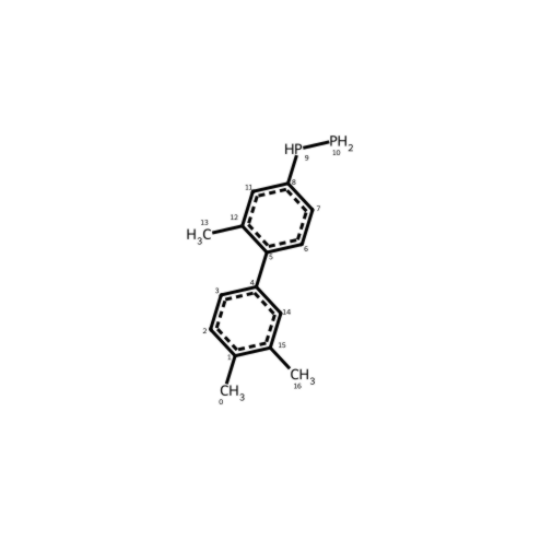 Cc1ccc(-c2ccc(PP)cc2C)cc1C